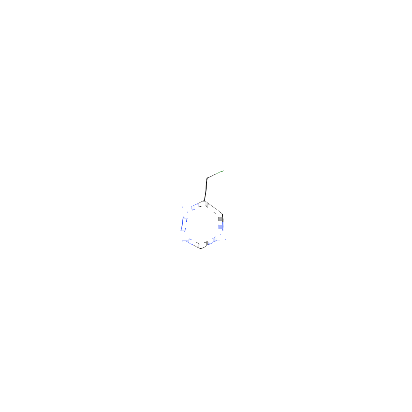 ClCc1cncnn1